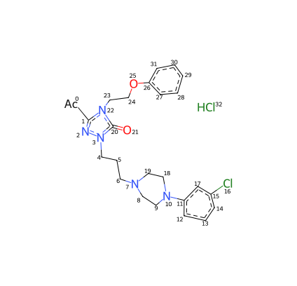 CC(=O)c1nn(CCCN2CCN(c3cccc(Cl)c3)CC2)c(=O)n1CCOc1ccccc1.Cl